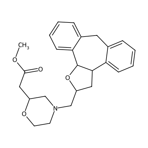 COC(=O)CC1CN(CC2CC3c4ccccc4Cc4ccccc4C3O2)CCO1